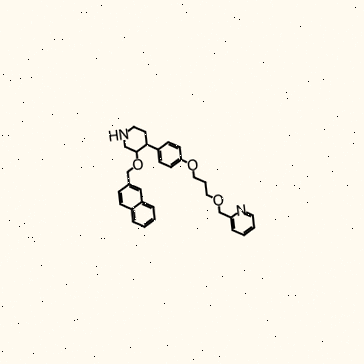 c1ccc(COCCCOc2ccc(C3CCNCC3OCc3ccc4ccccc4c3)cc2)nc1